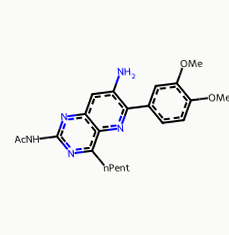 CCCCCc1nc(NC(C)=O)nc2cc(N)c(-c3ccc(OC)c(OC)c3)nc12